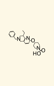 CCC1CN(Cc2ccccc2)Cc2ccc(OC3CCN(C(=O)O)CC3)nc21